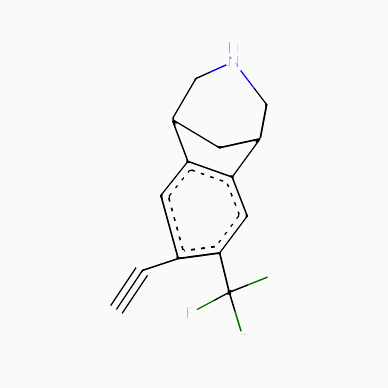 C#Cc1cc2c(cc1C(F)(F)F)C1CNCC2C1